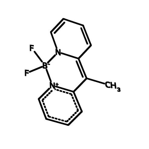 CC1=C2C=CC=CN2[B-](F)(F)[n+]2ccccc21